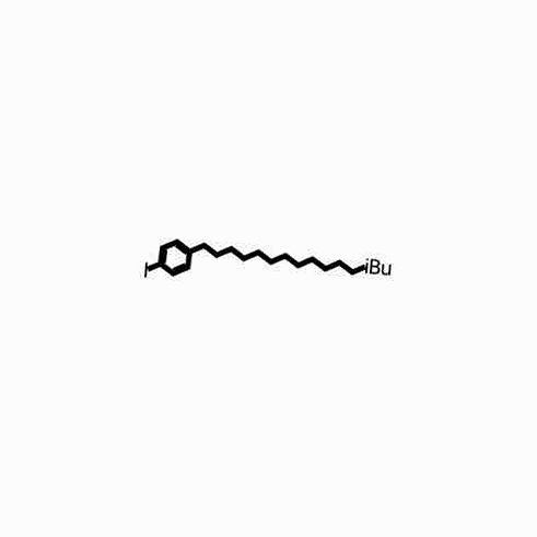 CCC(C)CCCCCCCCCCCCc1ccc(I)cc1